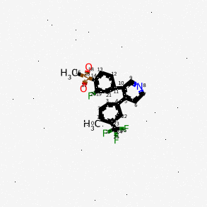 Cc1ccc(-c2ccncc2-c2ccc(S(C)(=O)=O)c(F)c2)cc1C(F)(F)F